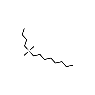 CCCCCCCC[Si](C)(C)CCCC